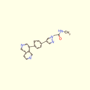 CNC(=O)Cn1cc(-c2ccc(-c3cncc4ccncc34)cc2)cn1